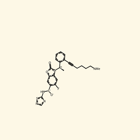 CNCCCCC#Cc1ccccc1[C@@H](C)n1c(=O)oc2cc([S+]([O-])Nc3ncns3)c(F)cc21